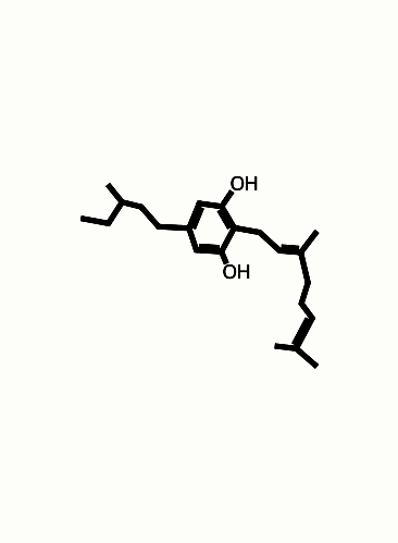 CCC(C)CCc1cc(O)c(C/C=C(\C)CCC=C(C)C)c(O)c1